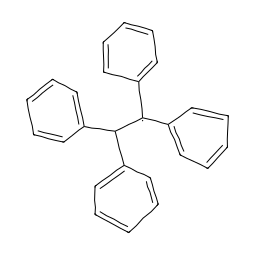 c1ccc([C](c2ccccc2)C(c2ccccc2)c2ccccc2)cc1